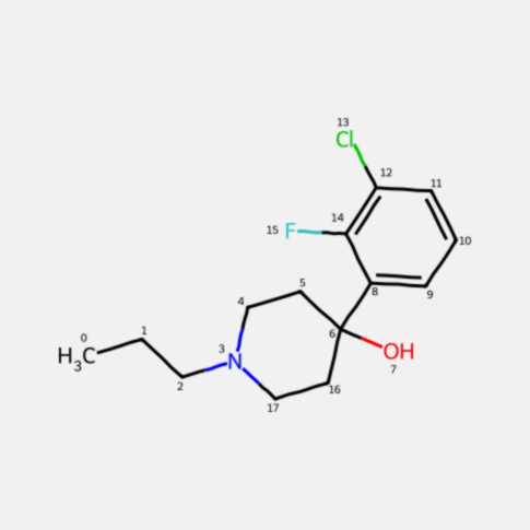 CCCN1CCC(O)(c2cccc(Cl)c2F)CC1